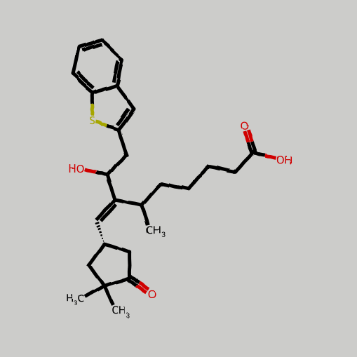 CC(CCCCC(=O)O)/C(=C\[C@@H]1CC(=O)C(C)(C)C1)C(O)Cc1cc2ccccc2s1